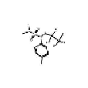 Cc1ccc(N(SC(Cl)(Cl)C(F)(F)Cl)S(=O)(=O)N(C)C)cc1